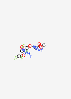 Nc1c(C(=O)c2ccc(F)cc2F)ccc(=O)n1-c1c(F)cc(OCCN2CCNC(C(=O)OC3CCCC3)C2)cc1F